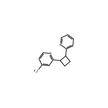 FC(F)(F)c1ccnc([C]2CCC2c2ccccn2)c1